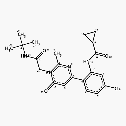 Cc1nc(-c2ccc(Cl)cc2NC(=O)C2CC2)cc(=O)n1CC(=O)NC(C)(C)C